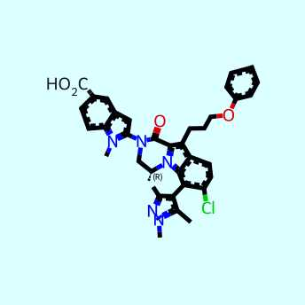 Cc1nn(C)c(C)c1-c1c(Cl)ccc2c(CCCOc3ccccc3)c3n(c12)[C@H](C)CN(c1cc2cc(C(=O)O)ccc2n1C)C3=O